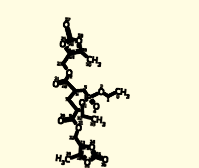 CCOP(=O)(CC(CCC(=O)OCc1oc(=O)oc1C)C(=O)OCc1oc(=O)oc1C)OCC